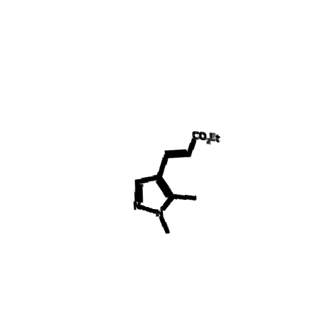 CCOC(=O)C=Cc1cnn(C)c1C